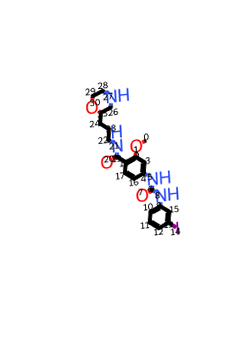 COc1cc(NC(=O)Nc2cccc(I)c2)ccc1C(=O)NCCCC1CNCCO1